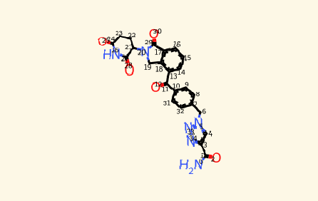 NC(=O)c1cn(Cc2ccc(C(=O)c3cccc4c3CN(C3CCC(=O)NC3=O)C4=O)cc2)nn1